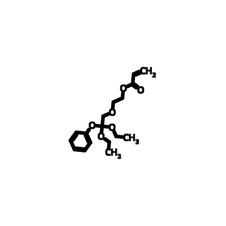 C=CC(=O)OCCOCC(OCC)(OCC)Oc1ccccc1